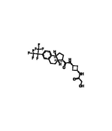 O=C(CO)N[C@H]1C[C@@H](NC(=O)[C@@H]2CC[C@H]3c4ccc(C(F)(C(F)(F)F)C(F)(F)F)cc4CC[C@@H]23)C1